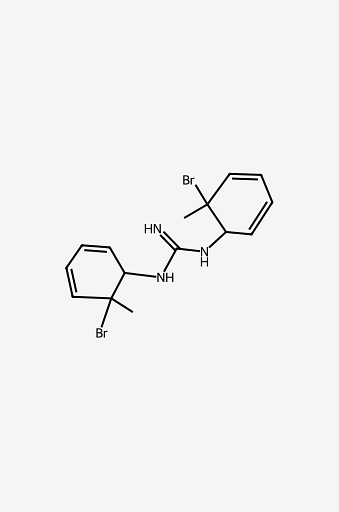 CC1(Br)C=CC=CC1NC(=N)NC1C=CC=CC1(C)Br